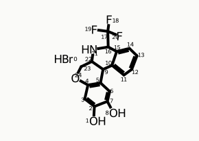 Br.Oc1cc2c(cc1O)C1c3ccccc3C(C(F)(F)F)NC1CO2